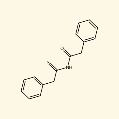 O=C(Cc1ccccc1)NC(=S)Cc1ccccc1